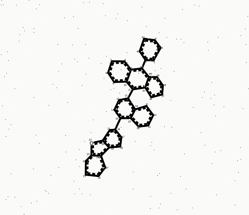 c1ccc(-c2c3ccccc3c(-c3ccc(-c4ccc5c(c4)oc4ccccc45)c4ccccc34)c3ccccc23)cc1